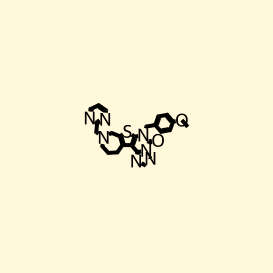 COc1ccc(Cn2c(=O)n3ncnc3c3c4c(sc32)CN(Cc2ncccn2)CCC4)cc1